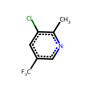 Cc1ncc(C(F)(F)F)cc1Cl